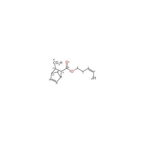 CC/C=C\CCOC(=O)C1C2C=CC(C2)C1C(=O)O